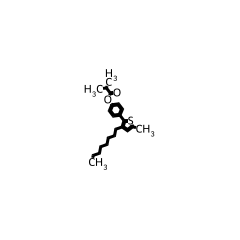 CCCCCCCCc1cc(C)sc1-c1ccc(OC(=O)C(C)C)cc1